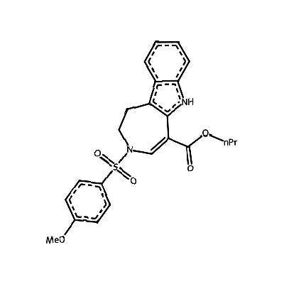 CCCOC(=O)C1=CN(S(=O)(=O)c2ccc(OC)cc2)CCc2c1[nH]c1ccccc21